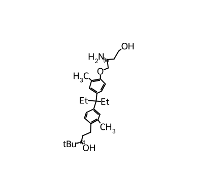 CCC(CC)(c1ccc(CC[C@@H](O)C(C)(C)C)c(C)c1)c1ccc(OC[C@H](N)CCO)c(C)c1